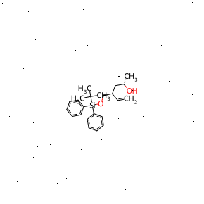 C=C[C@@H](CO[Si](c1ccccc1)(c1ccccc1)C(C)(C)C)C[C@H](C)O